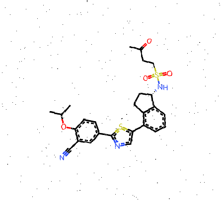 CC(=O)CCS(=O)(=O)N[C@H]1CCc2c(-c3cnc(-c4ccc(OC(C)C)c(C#N)c4)s3)cccc21